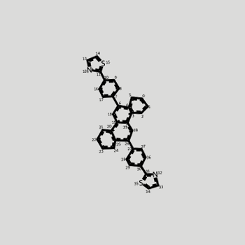 c1ccc2c(c1)c(-c1ccc(-c3nccs3)cc1)cc1c3ccccc3c(-c3ccc(-c4nccs4)cc3)cc21